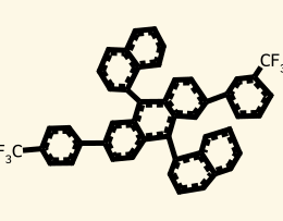 FC(F)(F)c1ccc(-c2ccc3c(-c4cccc5ccccc45)c4cc(-c5cccc(C(F)(F)F)c5)ccc4c(-c4cccc5ccccc45)c3c2)cc1